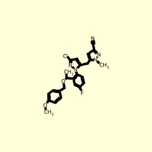 COc1ccc(COC(C)c2cc(F)ccc2-n2nc(Cl)cc2Cc2cc(C#N)nn2C)cc1